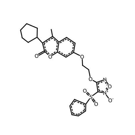 Cc1c(C2CCCCC2)c(=O)oc2cc(OCCOc3no[n+]([O-])c3S(=O)(=O)c3ccccc3)ccc12